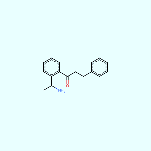 CC(N)c1ccccc1C(=O)CCc1ccccc1